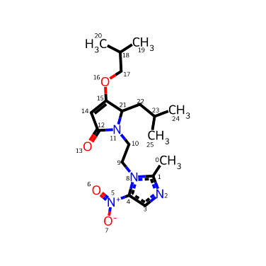 Cc1ncc([N+](=O)[O-])n1CCN1C(=O)C=C(OCC(C)C)C1CC(C)C